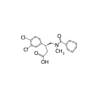 CN(C[C@@H](CC(=O)O)c1ccc(Cl)c(Cl)c1)C(=O)c1ccccc1